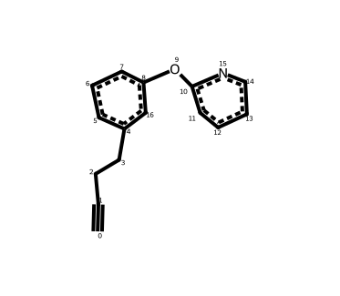 C#CCCc1cccc(Oc2ccccn2)c1